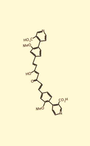 COc1cc(/C=C/C(=O)/C=C(O)/C=C/c2ccc(-c3ccncc3C(=O)O)c(OC)c2)ccc1-c1ccncc1C(=O)O